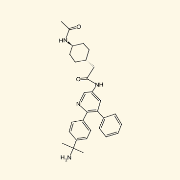 CC(=O)N[C@H]1CC[C@H](CC(=O)Nc2cnc(-c3ccc(C(C)(C)N)cc3)c(-c3ccccc3)c2)CC1